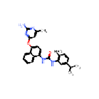 COc1ccc(C(C(F)(F)F)C(F)(F)F)cc1NC(=O)Nc1ccc(Oc2cc(C)nc(N)n2)c2ccccc12